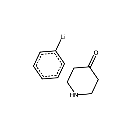 O=C1CCNCC1.[Li][c]1ccccc1